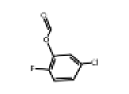 O=COc1cc(Cl)ccc1F